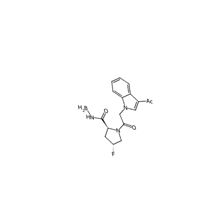 BNC(=O)[C@@H]1C[C@@H](F)CN1C(=O)Cn1cc(C(C)=O)c2ccccc21